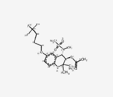 CC(=O)O[C@@H]1[C@@H](N(C)S(C)(=O)=O)c2cc(OCCCC(F)(F)F)ccc2OC1(C)C